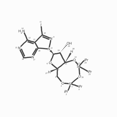 CC(C)[Si]1(C(C)C)OC[C@@H]2O[C@@H](n3nc(I)c4c(N)ncnc43)[C@H](O)[C@@H]2O[Si](C(C)C)(C(C)C)O1